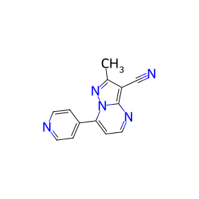 Cc1nn2c(-c3ccncc3)ccnc2c1C#N